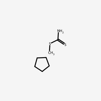 C1CCCC1.CSC(N)=S